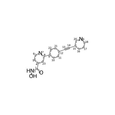 O=C(NO)c1c[c]nc(-c2ccc(C#Cc3cccnc3)cc2)c1